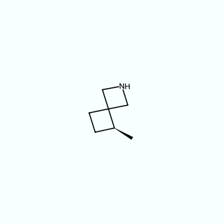 C[C@H]1CCC12CNC2